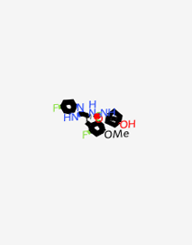 COc1cc(F)c(C[C@@H](NC(=O)NC23CCC(O)(CC2)CC3)c2nc3ccc(F)cc3[nH]2)c(F)c1